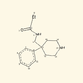 CCC(=O)NCC1(c2ccccc2)CCNCC1